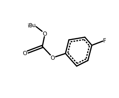 CCC(C)OC(=O)Oc1ccc(F)cc1